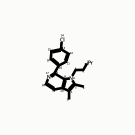 Cc1c(C)n(CCC(C)C)c2c(-c3ccc(Cl)cc3)nccc12